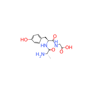 C[C@H](N)C(=O)N[C@@H](Cc1ccc(O)cc1)C(=O)NCC(=O)O